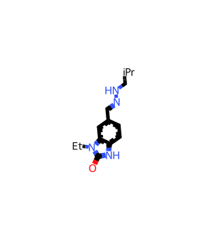 CCn1c(=O)[nH]c2ccc(/C=N/NCC(C)C)cc21